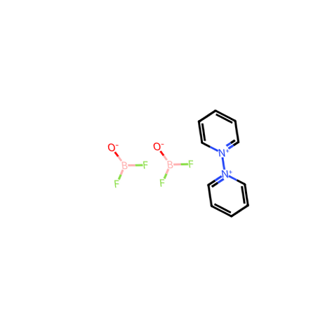 [O-]B(F)F.[O-]B(F)F.c1cc[n+](-[n+]2ccccc2)cc1